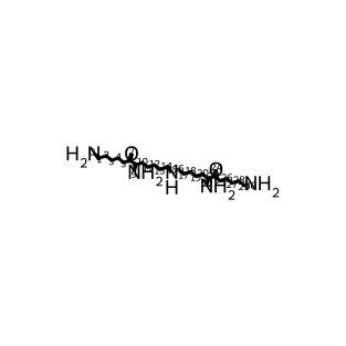 NCCCCCC(=O)C(N)CCCCCNCCCCCC(N)C(=O)CCCCCN